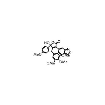 COc1ccc(C2(O)OC(=O)C(c3ccc4nonc4c3)=C2Cc2cc(OC)c(OC)c(OC)c2)cc1